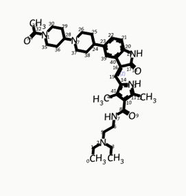 CCN(CC)CCNC(=O)c1c(C)[nH]c(/C=C2\C(=O)Nc3ccc(C4CCN(C5CCN(C(C)=O)CC5)CC4)cc32)c1C